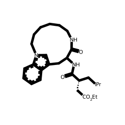 CCOC(=O)C[C@@H](CC(C)C)C(=O)NC1Cc2cn(c3ccccc23)CCCCCCNC1=O